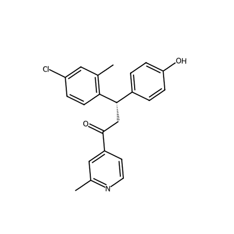 Cc1cc(C(=O)C[C@@H](c2ccc(O)cc2)c2ccc(Cl)cc2C)ccn1